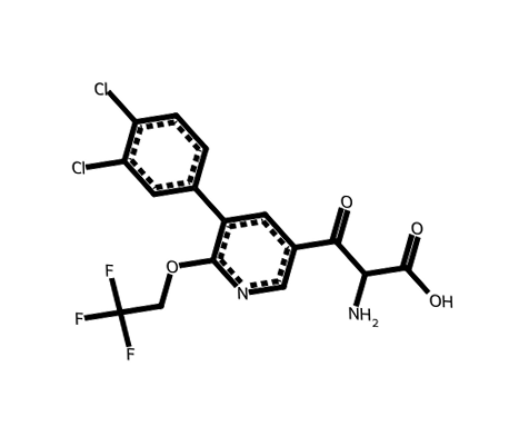 NC(C(=O)O)C(=O)c1cnc(OCC(F)(F)F)c(-c2ccc(Cl)c(Cl)c2)c1